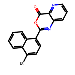 CCc1ccc(-c2nc3cccnc3c(=O)o2)c2ccccc12